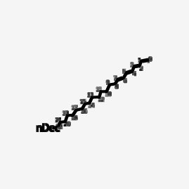 [CH]=C/C=C/C=C/C=C/CCCCCCCCCCCCCCCCCCCCCCCC